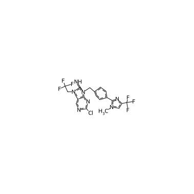 Cn1cc(C(F)(F)F)nc1-c1ccc(Cn2c(=N)n(CC(F)(F)F)c3cnc(Cl)nc32)cc1